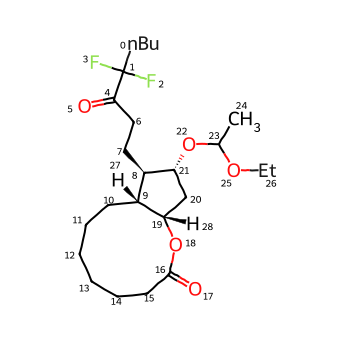 CCCCC(F)(F)C(=O)CC[C@@H]1[C@H]2CCCCCCC(=O)O[C@H]2C[C@H]1OC(C)OCC